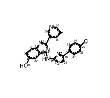 Oc1ccc2nc(-c3cccnc3)nc(Nc3nc(-c4ccc(Cl)cc4)cs3)c2c1